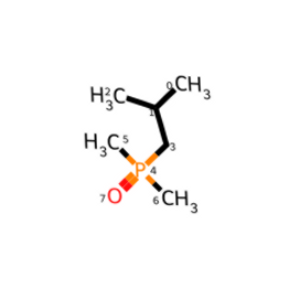 CC(C)CP(C)(C)=O